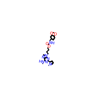 CNc1nc(-c2cccn2C)nc2c1ncn2CCCCOC(=O)NCc1ccc2c(c1)OCO2